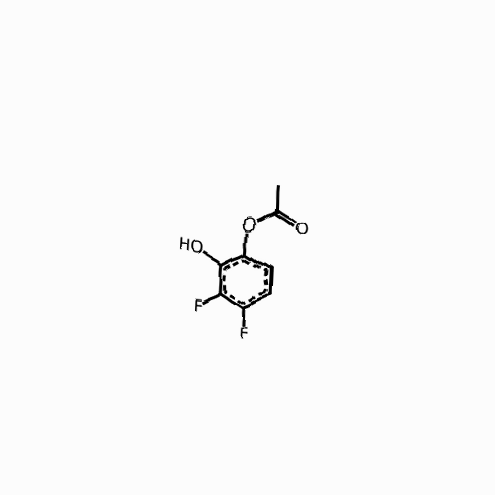 CC(=O)Oc1ccc(F)c(F)c1O